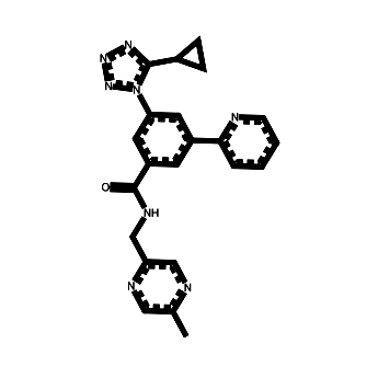 Cc1cnc(CNC(=O)c2cc(-c3ccccn3)cc(-n3nnnc3C3CC3)c2)cn1